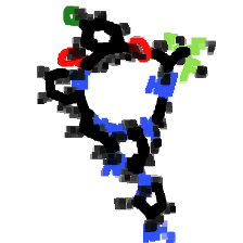 CN1CCNC(C(F)(F)F)COc2ccc(Cl)cc2C(=O)N2CCCCC2c2cc3nc(N4CC[C@H](N)C4)cc1n3n2